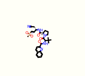 CC(C)(C)C(NC(=O)c1ccc2ccccc2n1)C(=O)N1CCC[C@@H]1C(=O)N[C@H](/C=C/S(C)(=O)=O)CC#N